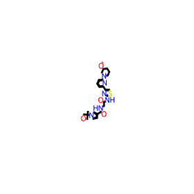 CO[C@H]1CCCN(c2cccc(-c3csc(NC(=O)CNC(=O)c4ccn(C5(C)COC5)c4)n3)n2)C1